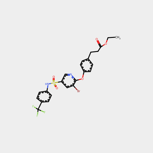 CCOC(=O)CCc1ccc(Oc2ncc(S(=O)(=O)Nc3ccc(C(F)(F)F)cc3)cc2Br)cc1